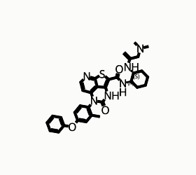 C=C(CN(C)C)N[C@H]1CCCC[C@H]1NC(=O)c1sc2nccc3c2c1NC(=O)N3c1ccc(Oc2ccccc2)cc1C